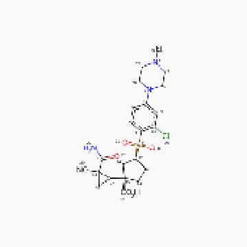 CCN1CCN(c2ccc(S(=O)(=O)[C@H]3CC[C@](C(=O)O)(C4CC4(C#N)C(N)=O)C3)c(Cl)c2)CC1